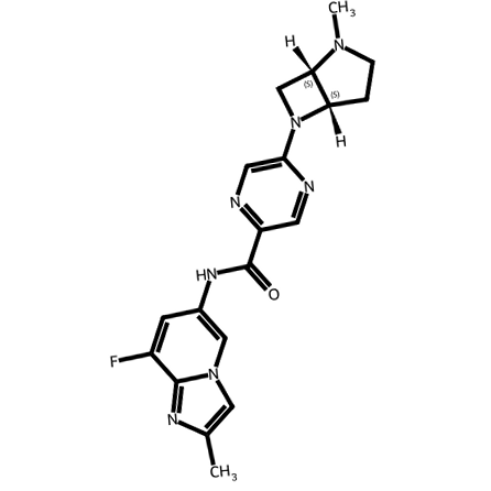 Cc1cn2cc(NC(=O)c3cnc(N4C[C@H]5[C@@H]4CCN5C)cn3)cc(F)c2n1